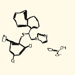 Clc1cc(Cl)c(SC(Cn2ccnc2)c2cccc3ccccc23)c(Cl)c1.O=[N+]([O-])O